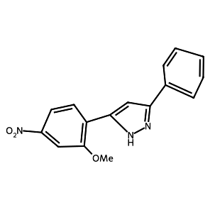 COc1cc([N+](=O)[O-])ccc1-c1cc(-c2ccccc2)n[nH]1